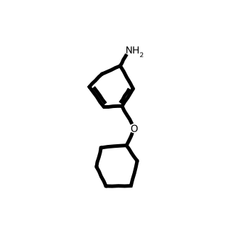 NC1C=C(OC2CCCCC2)C=CC1